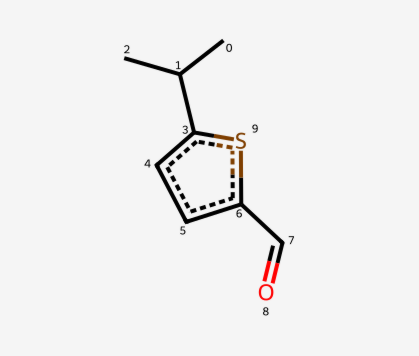 CC(C)c1ccc(C=O)s1